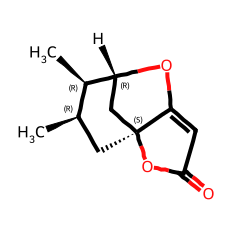 C[C@@H]1[C@H](C)C[C@]23C[C@H]1OC2=CC(=O)O3